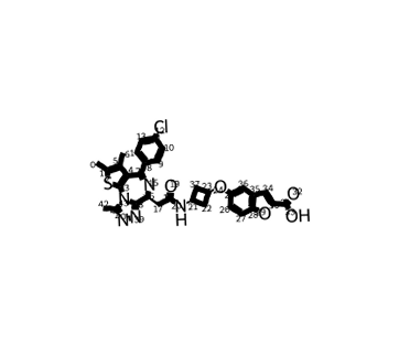 Cc1sc2c(c1C)C(c1ccc(Cl)cc1)=N[C@@H](CC(=O)N[C@H]1C[C@@H](Oc3ccc4oc(C(=O)O)cc4c3)C1)c1nnc(C)n1-2